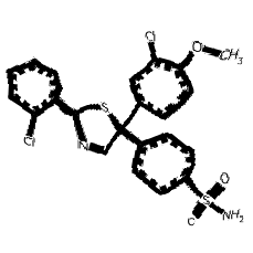 COc1ccc(C2(c3ccc(S(N)(=O)=O)cc3)C=NC(c3ccccc3Cl)S2)cc1Cl